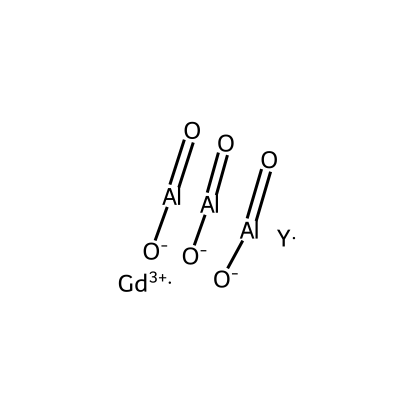 [Gd+3].[O]=[Al][O-].[O]=[Al][O-].[O]=[Al][O-].[Y]